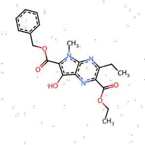 CCOC(=O)c1nc2c(O)c(C(=O)OCc3ccccc3)n(C)c2nc1CC